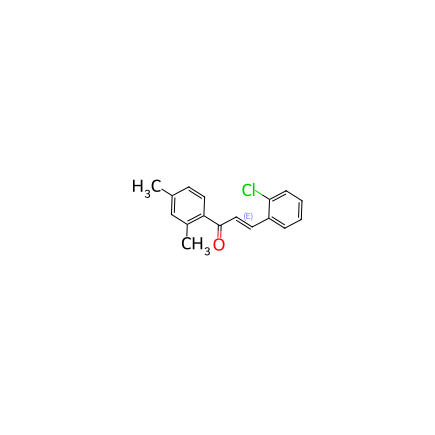 Cc1ccc(C(=O)/C=C/c2ccccc2Cl)c(C)c1